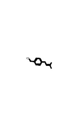 CC(C)=CCc1ccc(CCl)cc1